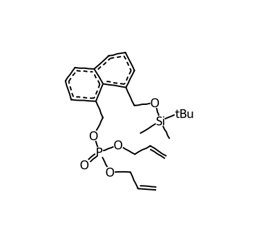 C=CCOP(=O)(OCC=C)OCc1cccc2cccc(CO[Si](C)(C)C(C)(C)C)c12